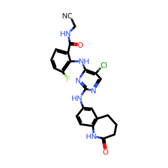 N#CCNC(=O)c1cccc(F)c1Nc1nc(Nc2ccc3c(c2)CCCC(=O)N3)ncc1Cl